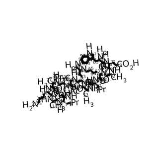 CC(=O)[C@H](C)NC(=O)[C@H](CC(C)C)NC(=O)[C@H](C)NC(=O)[C@H](CCCCN)NC(=O)[C@H](C)NC(=O)[C@H](CC(C)C)NC(=O)[C@H](C)NC(=O)[C@H](CCCCN)NC(=O)[C@H](C)NC(=O)[C@H](CC(C)C)NC(=O)[C@H](CCCCN)NC(=O)[C@H](C)NC(=O)[C@H](CCC(=O)O)NC(=O)[C@@H](N)Cc1c[nH]c2ccccc12